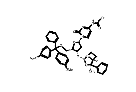 COc1ccc(C(OC[C@H]2O[C@@H](n3ccc(NC(=O)C(C)C)nc3=O)C[C@@H]2O[P@@]2O[C@](C)(c3ccccc3)[C@@H]3CCN32)(c2ccccc2)c2ccc(OC)cc2)cc1